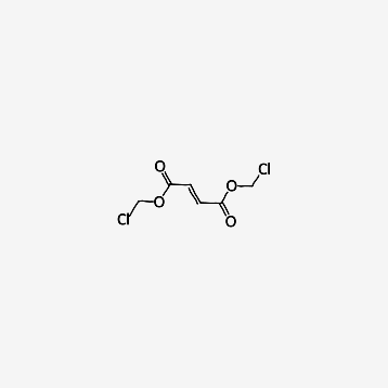 O=C(/C=C/C(=O)OCCl)OCCl